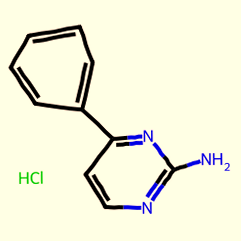 Cl.Nc1nccc(-c2ccccc2)n1